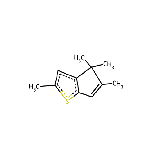 CC1=Cc2sc(C)cc2C1(C)C